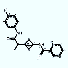 CC(C(=O)Nc1ccc(F)cc1)C12CC(NC(=O)c3ccccn3)(C1)C2